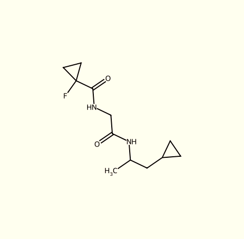 CC(CC1CC1)NC(=O)CNC(=O)C1(F)CC1